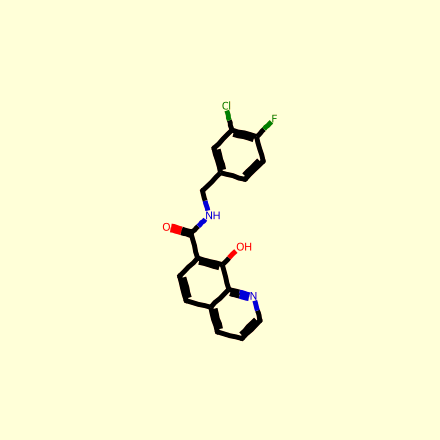 O=C(NCc1ccc(F)c(Cl)c1)c1ccc2cccnc2c1O